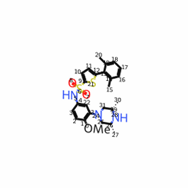 COc1ccc(NS(=O)(=O)c2ccc(-c3c(C)cccc3C)s2)cc1N1C[C@@H](C)N[C@@H](C)C1